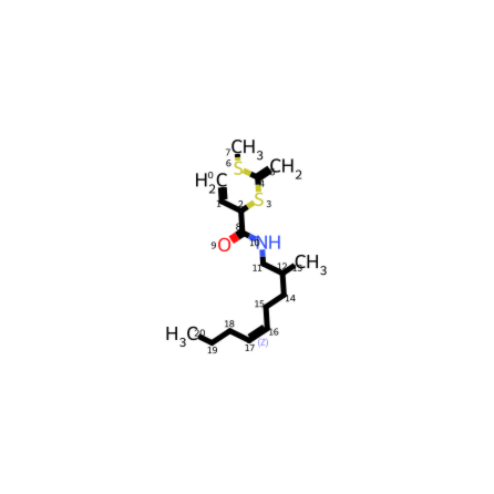 C=CC(SC(=C)SC)C(=O)NCC(C)CC/C=C\CCC